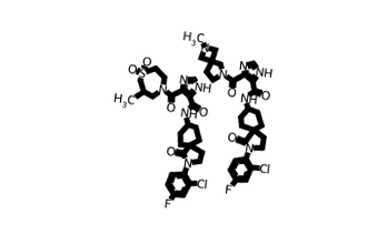 CC1CN(C(=O)c2nc[nH]c2C(=O)NC2CCC3(CC2)CCN(c2ccc(F)cc2Cl)C3=O)CCS(=O)(=O)C1.CN1CC2(CCN(C(=O)c3nc[nH]c3C(=O)NC3CCC4(CC3)CCN(c3ccc(F)cc3Cl)C4=O)C2)C1